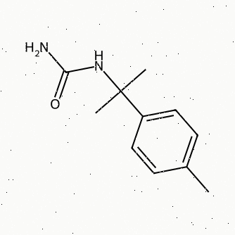 Cc1ccc(C(C)(C)NC(N)=O)cc1